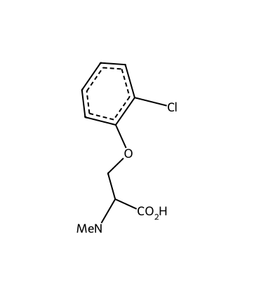 CNC(COc1ccccc1Cl)C(=O)O